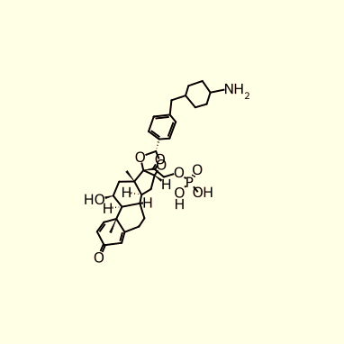 C[C@]12C=CC(=O)C=C1CC[C@@H]1[C@@H]2[C@@H](O)C[C@@]2(C)[C@H]1C[C@H]1O[C@@H](c3ccc(CC4CCC(N)CC4)cc3)O[C@]12C(=O)COP(=O)(O)O